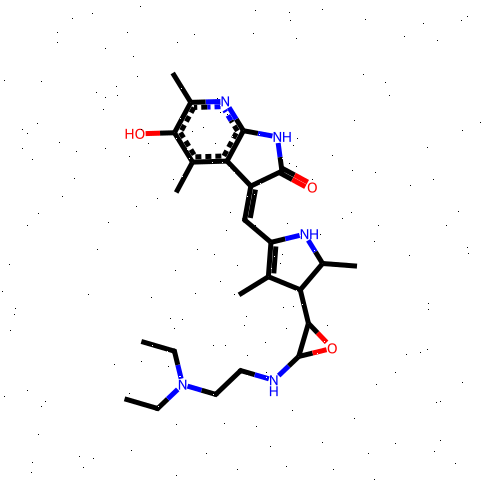 CCN(CC)CCNC1OC1C1C(C)=C(/C=C2\C(=O)Nc3nc(C)c(O)c(C)c32)NC1C